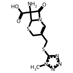 Cn1nnnc1SCC1=CN2C(=O)C(N)(C(=O)O)C2SC1